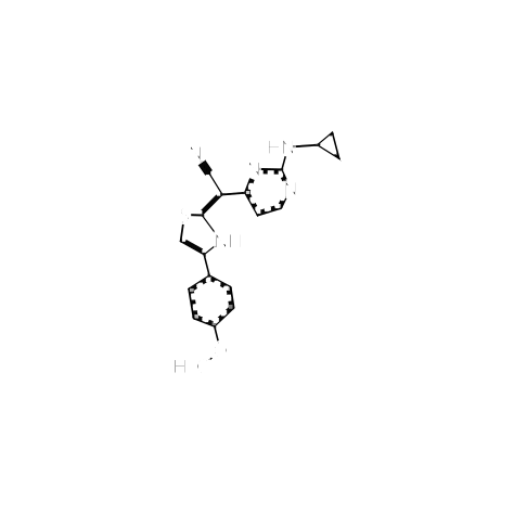 COc1ccc(C2=CSC(=C(C#N)c3ccnc(NC4CC4)n3)N2)cc1